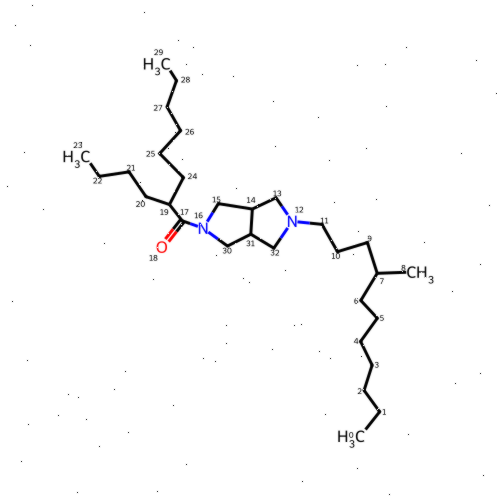 CCCCCCCC(C)CCCN1CC2CN(C(=O)C(CCCC)CCCCCC)CC2C1